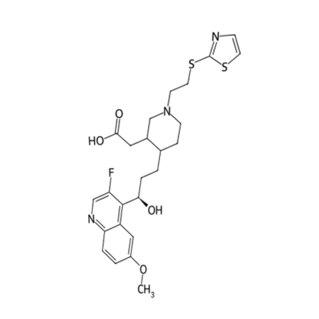 COc1ccc2ncc(F)c([C@H](O)CCC3CCN(CCSc4nccs4)CC3CC(=O)O)c2c1